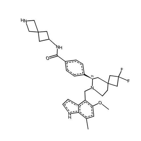 COc1cc(C)c2[nH]ccc2c1CN1CCC2(C[C@@H]1c1ccc(C(=O)NC3CC4(CNC4)C3)cc1)CC(F)(F)C2